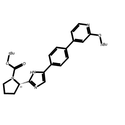 CCCCOc1cc(-c2ccc(-c3cnc([C@@H]4CCCN4C(=O)OC(C)(C)C)[nH]3)cc2)ccn1